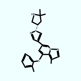 Cc1ccccc1Sc1cc(-c2cnn([C@@H]3CNC(C)(C)C3)c2)cn2ncc(C)c12